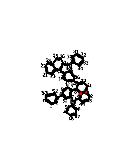 c1ccc(-c2ccc(-c3ccccc3-c3ccc4c5c6ccccc6ccc5n(-c5ccccc5)c4c3)c(N(c3ccccc3)c3ccccc3)c2)cc1